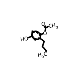 CCCCc1cc(O)ccc1OC(C)=O